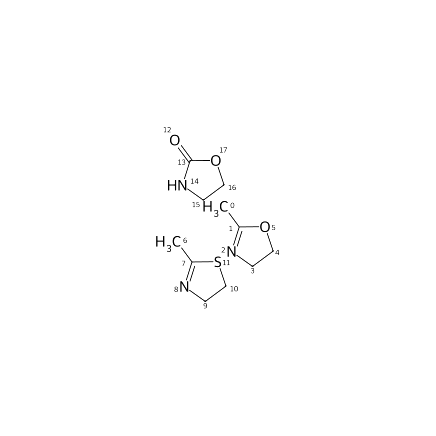 CC1=NCCO1.CC1=NCCS1.O=C1NCCO1